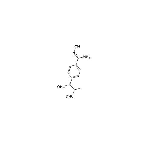 CC(C=O)N([C]=O)c1ccc(C(N)=NO)cc1